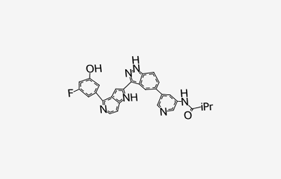 CC(C)C(=O)Nc1cncc(-c2ccc3[nH]nc(-c4cc5c(-c6cc(O)cc(F)c6)nccc5[nH]4)c3c2)c1